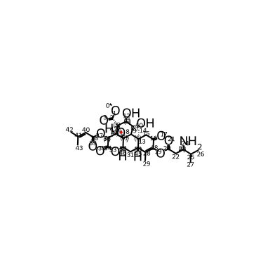 COC(=O)[C@@]12OC[C@]34C([C@@H](O)[C@@H]1O)[C@@]1(C)CC(=O)C(OC(=O)C[C@@H](N)C(C)C)=C(C)[C@@H]1C[C@H]3OC(=O)[C@H](OC(=O)C=C(C)C)[C@@H]24